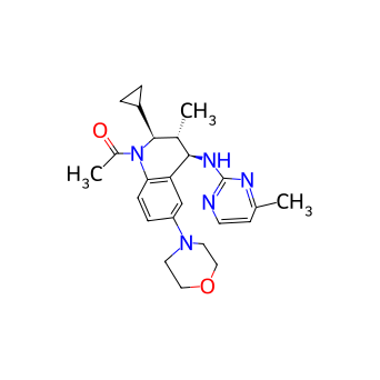 CC(=O)N1c2ccc(N3CCOCC3)cc2[C@H](Nc2nccc(C)n2)[C@@H](C)[C@@H]1C1CC1